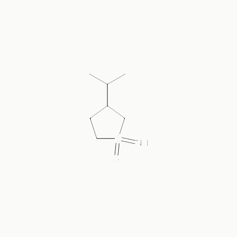 CC(C)C1CCS(=N)(=O)C1